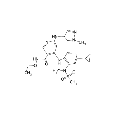 CCONC(=O)c1cnc(NC2C=NN(C)C2)cc1Nc1ccc(C2CC2)cc1N(C)S(C)(=O)=O